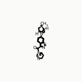 CN1C[C@H]2C[C@@H]1CN2c1ccc2c(C(=O)N3CCN4CCC3CC4)nsc2c1